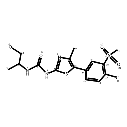 Cc1nc(NC(=O)NC(C)CO)sc1-c1ccc(Cl)c(S(C)(=O)=O)c1